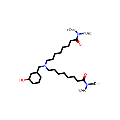 CCCCCCCCCCN(CCCCCCCCCC)C(=O)CCCCCCCN(CCCCCCCC(=O)N(CCCCCCCCCC)CCCCCCCCCC)CC1CCCC(O)C1